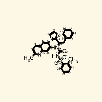 Cc1ccc2cc(-n3ccnc3C(Cc3ccccc3)NC(=O)NS(=O)(=O)c3ccccc3C)ccc2n1